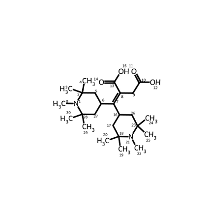 CN1C(C)(C)CC(C(=C(CC(=O)O)C(=O)O)C2CC(C)(C)N(C)C(C)(C)C2)CC1(C)C